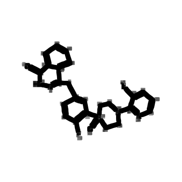 O=c1[nH]nc(Cc2ccc(F)c(P3(=O)CCN(c4ncccc4F)CC3)c2)c2ccccc12